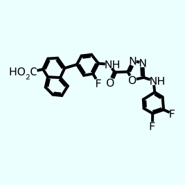 O=C(Nc1ccc(-c2ccc(C(=O)O)c3ccccc23)cc1F)c1nnc(Nc2ccc(F)c(F)c2)o1